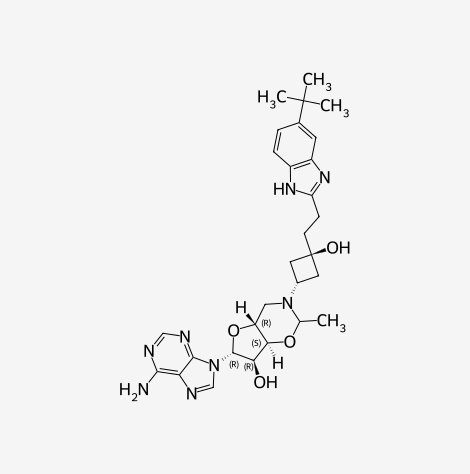 CC1O[C@H]2[C@@H](O)[C@H](n3cnc4c(N)ncnc43)O[C@@H]2CN1[C@H]1C[C@@](O)(CCc2nc3cc(C(C)(C)C)ccc3[nH]2)C1